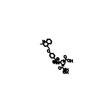 Cc1cc(COc2ccc(S(=O)(=O)N[C@@H]3CN(C(=O)O)C[C@@H]3C(=O)NO)cc2)c2ccccc2n1